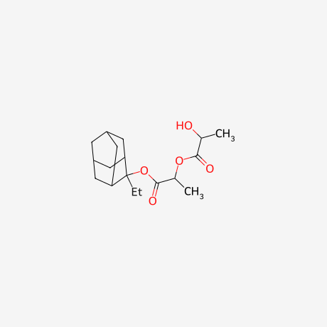 CCC1(OC(=O)C(C)OC(=O)C(C)O)C2CC3CC(C2)CC1C3